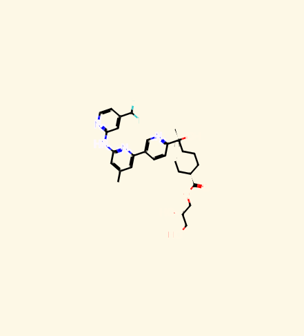 Cc1cc(Nc2cc(C(F)F)ccn2)nc(-c2ccc([C@](C)(O)[C@H]3CC[C@H](C(=O)OC[C@@H](O)CO)CC3)nc2)c1